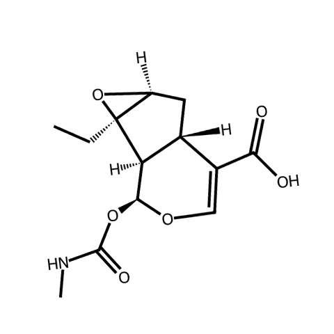 CC[C@]12O[C@H]1C[C@@H]1C(C(=O)O)=CO[C@@H](OC(=O)NC)[C@H]12